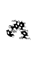 CC1(C)CCCCC1NC(=O)c1ccc(-c2ccccc2C(=O)Nc2ccc(C(=N)N)cc2)c(C(=O)O)c1